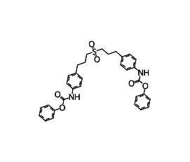 O=C(Nc1ccc(CCCS(=O)(=O)CCCc2ccc(NC(=O)Oc3ccccc3)cc2)cc1)Oc1ccccc1